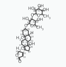 CC1OC(O[C@@H]2[C@H](O)C(O[C@H]3CCC4(C)C5CCC6(C)[C@@H](C7=CC(=O)OC7)CC[C@]6(O)C5CC[C@@H]4C3)OC(C)[C@@H]2O)[C@@H](O)[C@@H](O)[C@H]1O